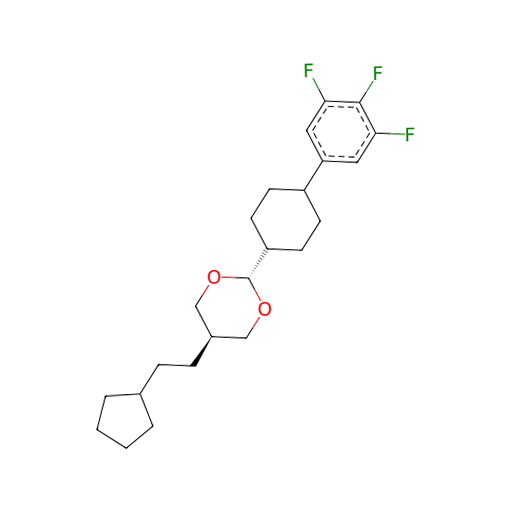 Fc1cc(C2CCC([C@H]3OC[C@H](CCC4CCCC4)CO3)CC2)cc(F)c1F